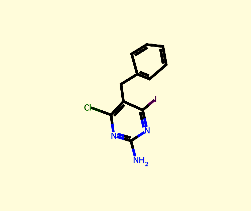 Nc1nc(Cl)c(Cc2ccccc2)c(I)n1